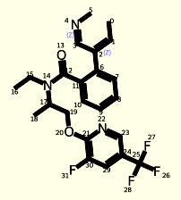 C/C=C(\C=N/C)c1ccccc1C(=O)N(CC)C(C)COc1ncc(C(F)(F)F)cc1F